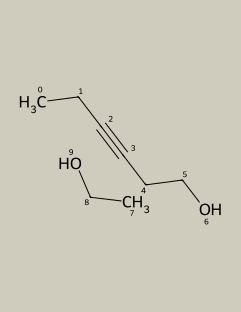 CCC#CCCO.CCO